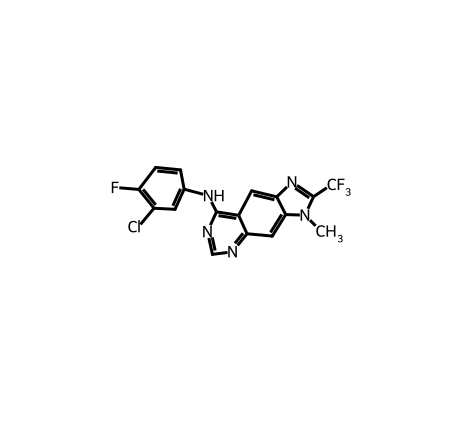 Cn1c(C(F)(F)F)nc2cc3c(Nc4ccc(F)c(Cl)c4)ncnc3cc21